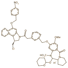 COc1cc2c(cc1OCc1cccc(CC(=O)N3C[C@@H](CCl)c4c3cc(OCc3ccc([N+](=O)[O-])cc3)c3ccccc43)c1)N(C(=O)O)C(OC1CCCCO1)[C@@H]1CCCCN1C2=O